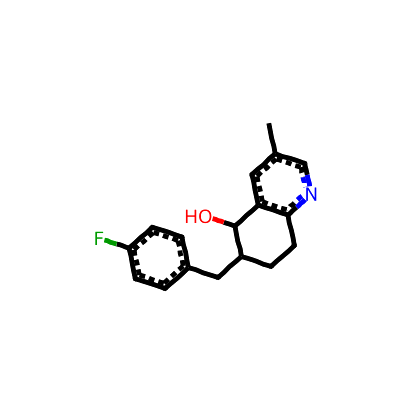 Cc1cnc2c(c1)C(O)C(Cc1ccc(F)cc1)CC2